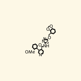 COc1ccccc1-c1cnccc1C(=O)Nc1nnc(OCc2cccc3c2OCO3)s1